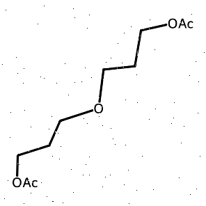 CC(=O)OCCCOCCCOC(C)=O